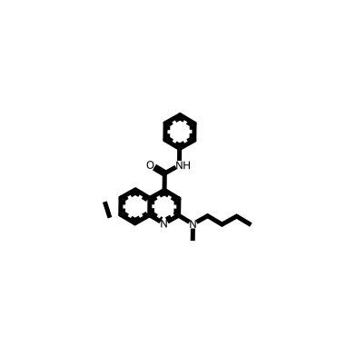 CC.CCCCN(C)c1cc(C(=O)Nc2ccccc2)c2ccccc2n1